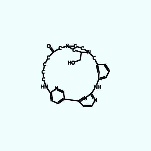 O=C1CCCCNc2ccc(cn2)-c2ccnc(n2)Nc2cccc(c2)CN2CCN(C1)CC2CO